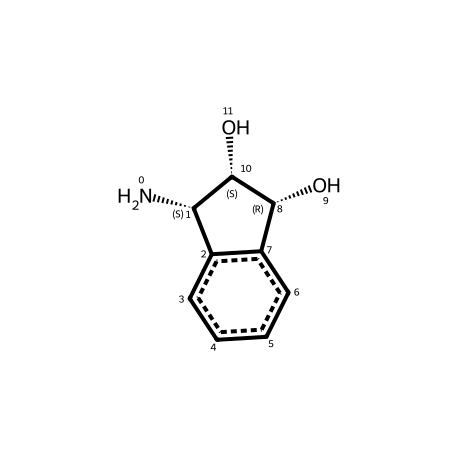 N[C@H]1c2ccccc2[C@@H](O)[C@H]1O